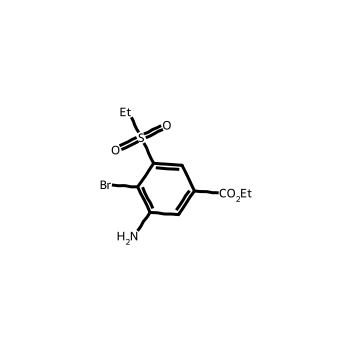 CCOC(=O)c1cc(N)c(Br)c(S(=O)(=O)CC)c1